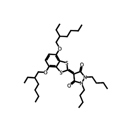 CCCCC(CC)COc1ccc(OCC(CC)CCCC)c2c1SC(=C1C(=O)N(CCCC)N(CCCC)C1=O)S2